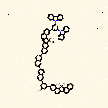 CC(C)c1cc(-c2ccc3cc(-c4ccc5ccc(-c6ccc7cc8c(cc7c6)-c6ccc7ccc(-c9cc(-n%10c%11ccccc%11c%11ccccc%11%10)cc(-n%10c%11ccccc%11c%11ccccc%11%10)c9)cc7c6C8(C)C)cc5c4)ccc3c2)cc(-c2ccc3c4c(ccc3c2)-c2ccc3ccccc3c2C4(C)C)c1